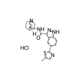 Cc1cnc(-c2ccc3[nH]nc(C(=O)N[C@@H]4CN5CCC4CC5)c3c2)s1.Cl